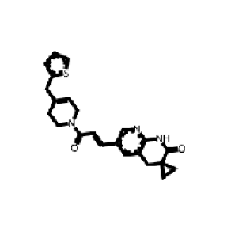 O=C(C=Cc1cnc2c(c1)CC1(CC1)C(=O)N2)N1CC=C(Cc2cccs2)CC1